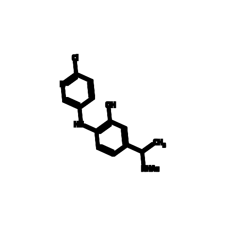 CC(=O)NC(C)c1ccc(Nc2ccc(Cl)nc2)c(O)c1